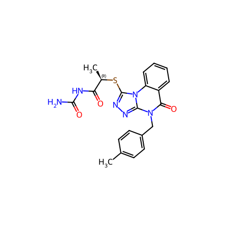 Cc1ccc(Cn2c(=O)c3ccccc3n3c(S[C@H](C)C(=O)NC(N)=O)nnc23)cc1